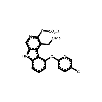 CCOC(=O)Oc1ncc2[nH]c3cccc(Oc4ccc(Cl)cn4)c3c2c1COC